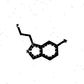 FCCn1ncc2ccc(Br)cc21